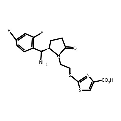 NC(c1ccc(F)cc1F)[C@H]1CCC(=O)N1CCSc1nc(C(=O)O)cs1